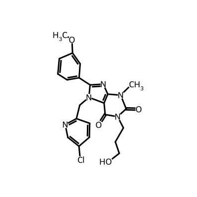 COc1cccc(-c2nc3c(c(=O)n(CCCO)c(=O)n3C)n2Cc2ccc(Cl)cn2)c1